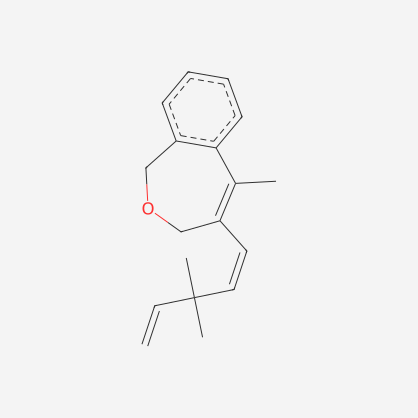 C=CC(C)(C)/C=C\C1=C(C)c2ccccc2COC1